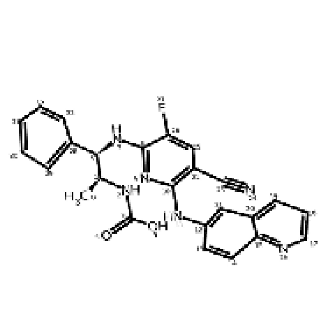 C[C@H](NC(=O)O)[C@H](Nc1nc(Nc2ccc3ncccc3c2)c(C#N)cc1F)c1ccccc1